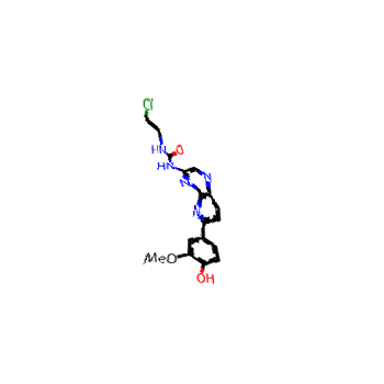 COc1cc(-c2ccc3ncc(NC(=O)NCCCl)nc3n2)ccc1O